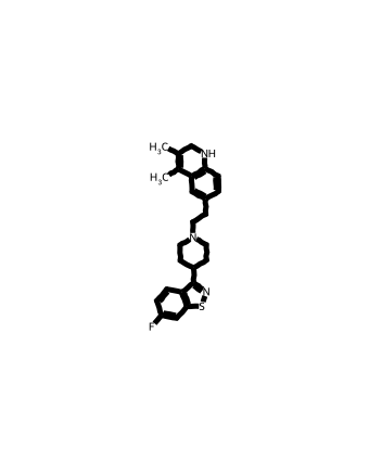 CC1=C(C)c2cc(CCN3CCC(c4nsc5cc(F)ccc45)CC3)ccc2NC1